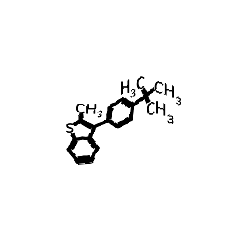 Cc1sc2ccccc2c1-c1ccc(C(C)(C)C)cc1